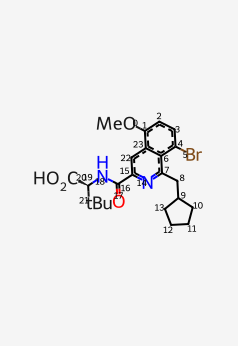 COc1ccc(Br)c2c(CC3CCCC3)nc(C(=O)N[C@H](C(=O)O)C(C)(C)C)cc12